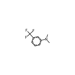 CN(C)c1cccc(C(F)(F)F)c1